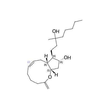 C=C1CCC/C=C\C[C@@H]2[C@@H](CCC(C)(O)CCCCC)[C@H](O)C[C@@H]2O1